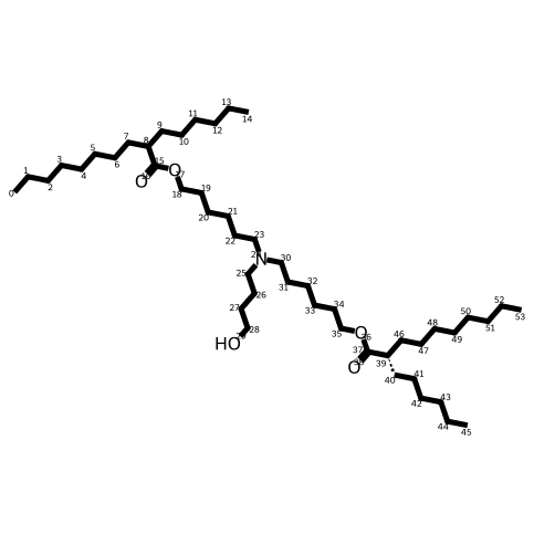 CCCCCCCCC(CCCCCC)C(=O)OCCCCCCN(CCCCO)CCCCCCOC(=O)[C@@H](CCCCCC)CCCCCCCC